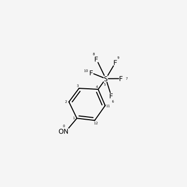 O=Nc1ccc(S(F)(F)(F)(F)F)cc1